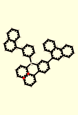 c1ccc(-c2ccc(-c3cc4ccccc4c4ccccc34)cc2N(c2ccccc2)c2cccc(-c3cccc4ccccc34)c2)cc1